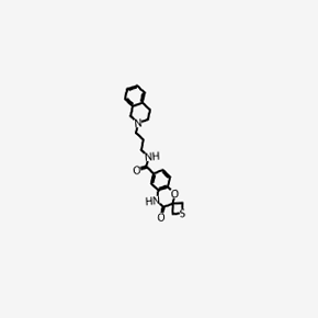 O=C(NCCCN1CCc2ccccc2C1)c1ccc2c(c1)NC(=O)C1(CSC1)O2